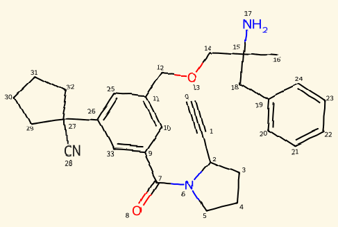 C#CC1CCCN1C(=O)c1cc(COCC(C)(N)Cc2ccccc2)cc(C2(C#N)CCCC2)c1